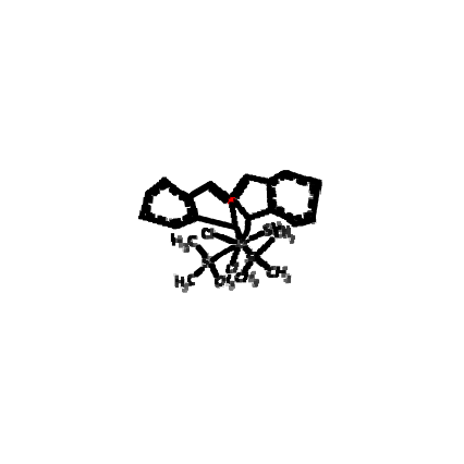 C[Si](C)(C)[Zr]([SiH3])([Cl])([Cl])([CH]1C=Cc2ccccc21)([CH]1C=Cc2ccccc21)[Si](C)(C)C